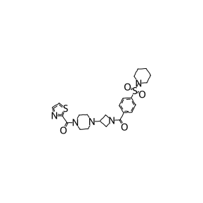 O=C(c1ccc(S(=O)(=O)N2CCCCC2)cc1)N1CC(N2CCN(C(=O)c3nccs3)CC2)C1